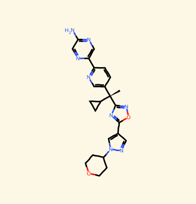 C[C@@](c1ccc(-c2cnc(N)cn2)nc1)(c1noc(-c2cnn(C3CCOCC3)c2)n1)C1CC1